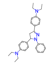 CCN(CC)c1ccc(C2=NN(c3ccccc3)C(c3ccc(N(CC)CC)cc3)C2)cc1